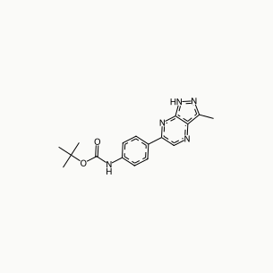 Cc1n[nH]c2nc(-c3ccc(NC(=O)OC(C)(C)C)cc3)cnc12